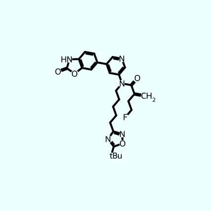 C=C(CCF)C(=O)N(CCCCCc1noc(C(C)(C)C)n1)c1cncc(-c2ccc3[nH]c(=O)oc3c2)c1